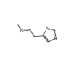 COCCc1cncs1